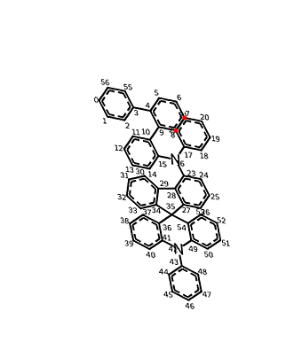 c1ccc(-c2ccccc2-c2ccccc2N(c2ccccc2)c2cccc3c2-c2ccccc2C32c3ccccc3N(c3ccccc3)c3ccccc32)cc1